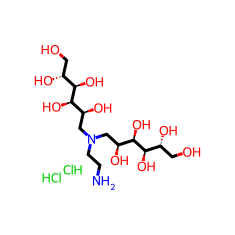 Cl.Cl.NCCN(C[C@H](O)[C@@H](O)[C@H](O)[C@H](O)CO)C[C@H](O)[C@@H](O)[C@H](O)[C@H](O)CO